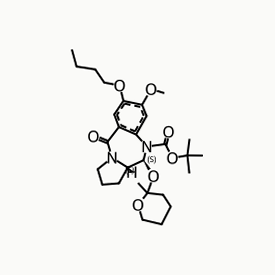 CCCCOc1cc2c(cc1OC)N(C(=O)OC(C)(C)C)[C@@H](OC1(C)CCCCO1)[C@@H]1CCCN1C2=O